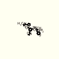 Cc1csc(C2CCCN2C(=O)c2cc(-c3ncco3)cc(-c3nnc(C(C)(N)Cc4ccc(F)cc4)o3)c2)n1